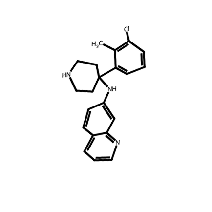 Cc1c(Cl)cccc1C1(Nc2ccc3cccnc3c2)CCNCC1